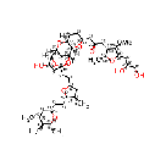 C=C1C[C@H](CC[C@]23C[C@@H](O)[C@H](O2)[C@H]2C[C@@H](O3)[C@H]3O[C@@H](CC(=O)C[C@@H]4[C@@H](OC)[C@@H](C[C@H](O)CO)O[C@H]4C)CC[C@@H]3O2)O[C@H]1CC[C@H]1C[C@@H](C)C(=C)[C@@H](C)O1